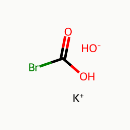 O=C(O)Br.[K+].[OH-]